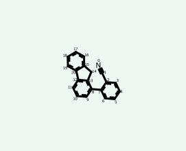 N#Cc1ccccc1-c1cccc2c1Cc1ccccc1-2